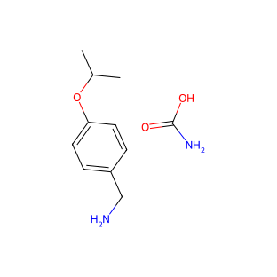 CC(C)Oc1ccc(CN)cc1.NC(=O)O